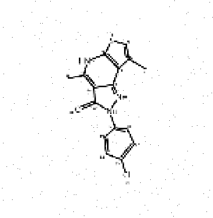 Cc1[nH]c2scc(C)c2c2nn(-c3ccc(Cl)cc3)c(=O)c1-2